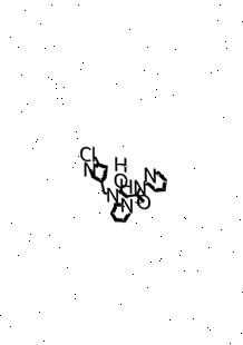 O=C(Nc1ccccn1)c1c(O)n(Cc2ccc(Cl)nc2)c2cccc[n+]12